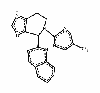 FC(F)(F)c1cnc(N2CCc3[nH]cnc3[C@@H]2c2ccc3ccccc3n2)nc1